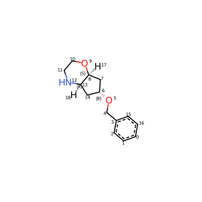 c1ccc(CO[C@H]2C[C@@H]3OCCN[C@@H]3C2)cc1